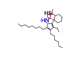 CCCCCCCCC1=C(CCCCCC)C(CC)=C(C2(C([NH])=O)CCCCC2[SiH](C)C)C1C